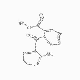 CC(C)OC(=O)c1ccccc1C(=O)c1ccccc1N